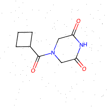 O=C1CN(C(=O)C2CCC2)CC(=O)N1